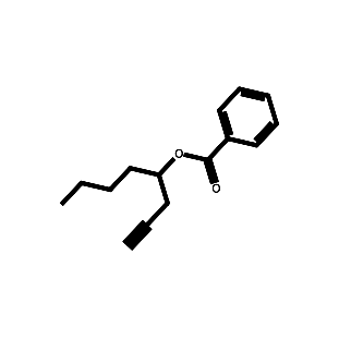 C#CCC(CCCC)OC(=O)c1ccccc1